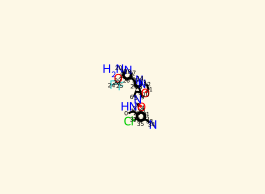 CC(NC(=O)N1CCC2(C1)OCCn1nc(-c3cnc(N)c(OC(F)F)c3)cc12)c1ccc(C#N)cc1Cl